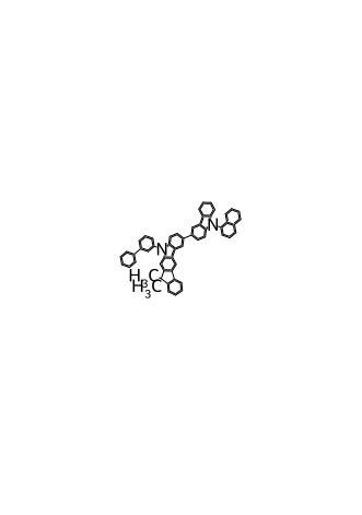 CC1(C)c2ccccc2-c2cc3c4cc(-c5ccc6c(c5)c5ccccc5n6-c5cccc6ccccc56)ccc4n(-c4cccc(-c5ccccc5)c4)c3cc21